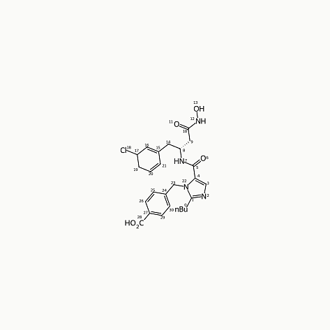 CCCCc1ncc(C(=O)N[C@@H](CC(=O)NO)CC2=CC(Cl)CC=C2)n1Cc1ccc(C(=O)O)cc1